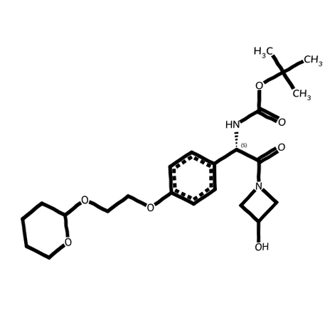 CC(C)(C)OC(=O)N[C@H](C(=O)N1CC(O)C1)c1ccc(OCCOC2CCCCO2)cc1